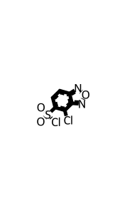 O=S(=O)(Cl)c1ccc2nonc2c1Cl